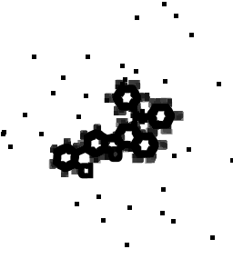 Clc1ccccc1-c1ccc2c(c1)oc1c3ccccc3c(N(c3ccccc3)c3ccccc3)cc21